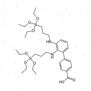 CCO[Si](CCCNc1cccc(-c2ccc(C(=O)O)cc2)c1NCCC[Si](OCC)(OCC)OCC)(OCC)OCC